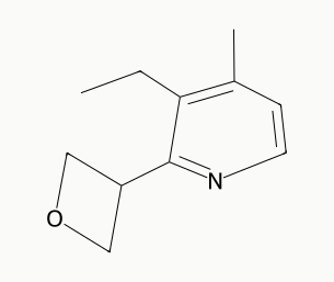 CCc1c(C)ccnc1C1COC1